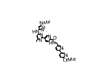 CNc1cc(Nc2cc(C)nc(-c3ccc(C(=O)NCc4ccc(-c5ccc(OC)nc5)nc4)nc3)n2)no1